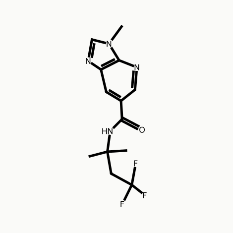 Cn1cnc2cc(C(=O)NC(C)(C)CC(F)(F)F)cnc21